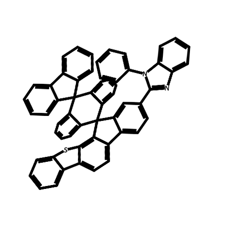 c1ccc(-n2c(-c3ccc4c(c3)C3(c5ccccc5C5(c6ccccc6-c6ccccc65)c5ccccc53)c3c-4ccc4c3sc3ccccc34)nc3ccccc32)cc1